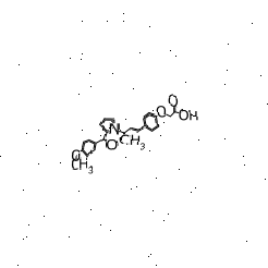 COc1ccc(C(=O)c2cccn2C(C)/C=C/c2ccc(OCC(=O)O)cc2)cc1